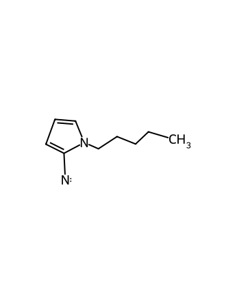 CCCCCn1cccc1[N]